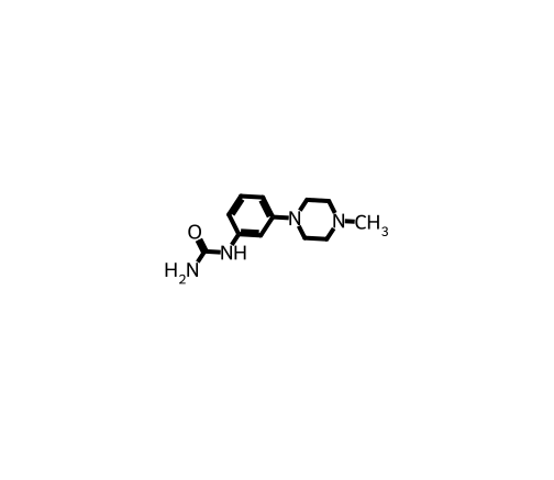 CN1CCN(c2cccc(NC(N)=O)c2)CC1